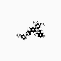 CC1CN(c2ncc(-c3cc(NC(=O)c4ccc(F)cc4C(F)F)c(N4CCN(C)C(C)C4)cc3F)cn2)CCO1